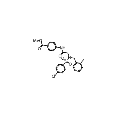 COC(=O)c1ccc(NC(=O)CN(Cc2ccccc2C)S(=O)(=O)c2ccc(Cl)cc2)cc1